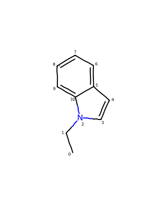 CCn1ccc2cc[c]cc21